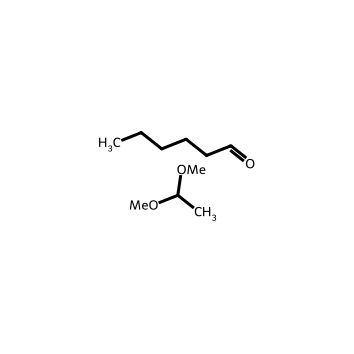 CCCCCC=O.COC(C)OC